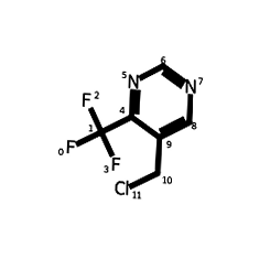 FC(F)(F)c1ncncc1CCl